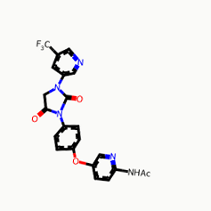 CC(=O)Nc1ccc(Oc2ccc(N3C(=O)CN(c4cncc(C(F)(F)F)c4)C3=O)cc2)cn1